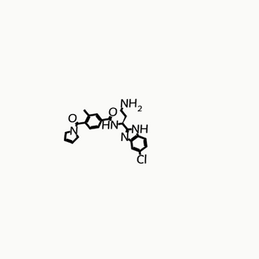 Cc1cc(C(=O)N[C@@H](CCN)c2nc3cc(Cl)ccc3[nH]2)ccc1C(=O)N1CC=CC1